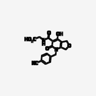 N#Cc1ccc(Cn2c3c(c(O)c(C(=O)NCC(=O)O)c2=O)COC3)cc1